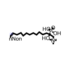 CCCCCCCCC/C=C\CCCCCCCCCCC(O)(C[N+](C)(C)C)P(=O)(O)O